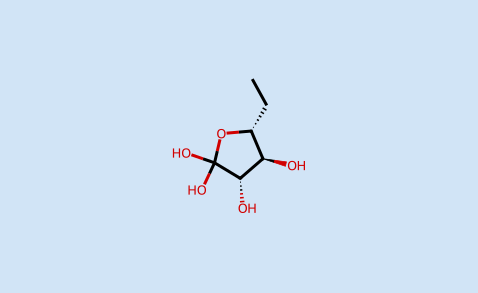 CC[C@H]1OC(O)(O)[C@@H](O)[C@@H]1O